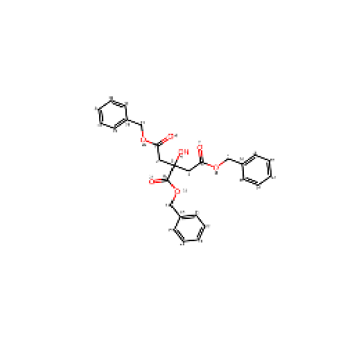 O=C(CC(O)(CC(=O)OCc1ccccc1)C(=O)OCc1ccccc1)OCc1ccccc1